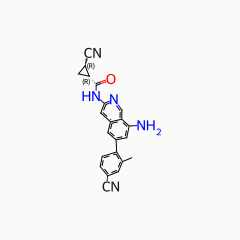 Cc1cc(C#N)ccc1-c1cc(N)c2cnc(NC(=O)[C@@H]3C[C@H]3C#N)cc2c1